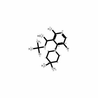 CCC(C)(C)OC(C(=O)O)c1c(C)ncc(Br)c1N1CCC(C)(C)CC1